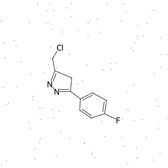 Fc1ccc(C2=NN=C(CCl)C2)cc1